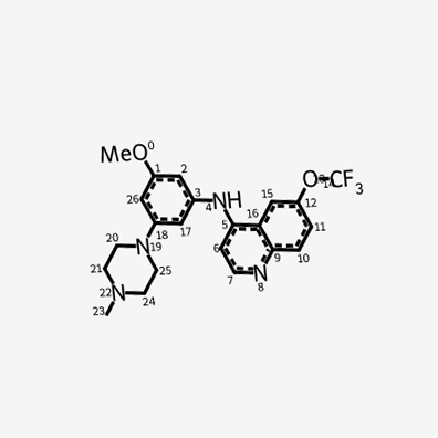 COc1cc(Nc2ccnc3ccc(OC(F)(F)F)cc23)cc(N2CCN(C)CC2)c1